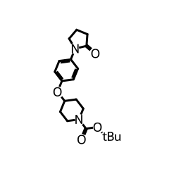 CC(C)(C)OC(=O)N1CCC(Oc2ccc(N3CCCC3=O)cc2)CC1